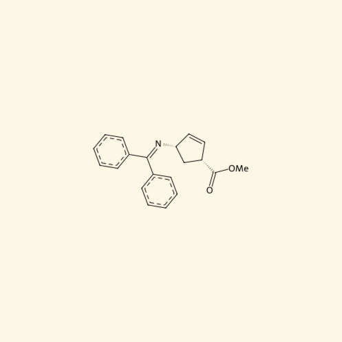 COC(=O)[C@H]1C=C[C@@H](N=C(c2ccccc2)c2ccccc2)C1